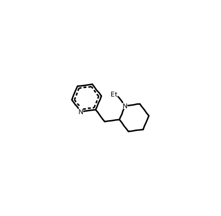 CCN1CCCCC1Cc1ccccn1